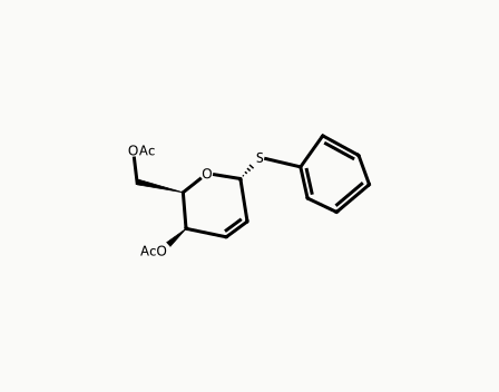 CC(=O)OC[C@H]1O[C@H](Sc2ccccc2)C=C[C@H]1OC(C)=O